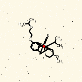 CO[C@H]1CC[C@]2(CC1)Cc1ccc(OCCOC(C)C)cc1C21NC(=S)N(C(C)C)C1=O